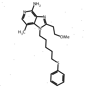 COCCc1nc2c(N)ncc(C)c2n1CCCCCSc1ccccc1